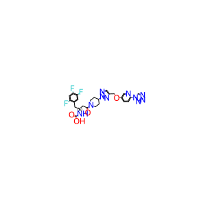 O=C(O)N[C@H](CC(=O)N1CCC(n2ncc(COc3ccc(-n4cnnn4)nc3)n2)CC1)Cc1cc(F)c(F)cc1F